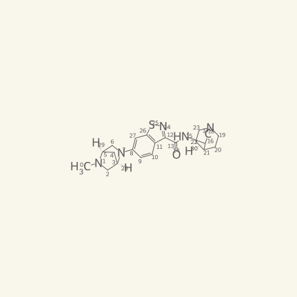 CN1C[C@H]2C[C@@H]1CN2c1ccc2c(C(=O)N[C@H]3CN4CCC3CC4)nsc2c1